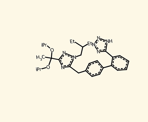 CCC(CC)Cn1nc(C(C)(OC(C)C)OC(C)C)nc1Cc1ccc(-c2ccccc2-c2nnn[nH]2)cc1